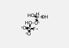 O=S(=O)(O)F.O=[PH](O)O